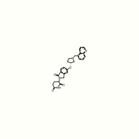 O=C1CCC(N2Cc3cc(O[C@@H]4CCN(Cc5cccc6ncccc56)C4)ccc3C2=O)C(=O)N1